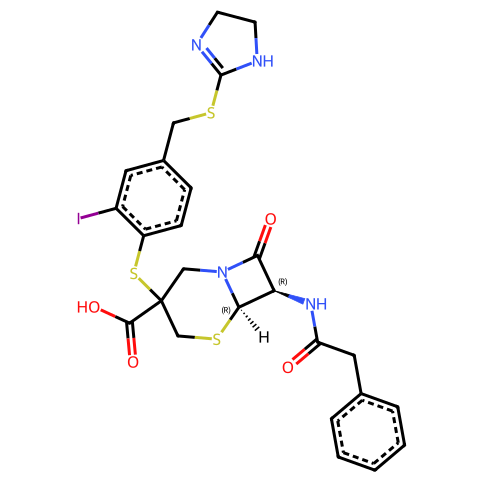 O=C(Cc1ccccc1)N[C@@H]1C(=O)N2CC(Sc3ccc(CSC4=NCCN4)cc3I)(C(=O)O)CS[C@H]12